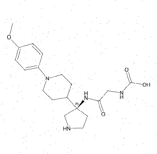 COc1ccc(N2CCC([C@]3(NC(=O)CNC(=O)O)CCNC3)CC2)cc1